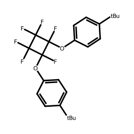 CC(C)(C)c1ccc(OC2(F)C(F)(F)C(F)(F)C2(F)Oc2ccc(C(C)(C)C)cc2)cc1